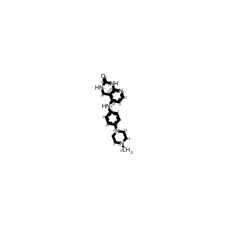 CN1CCN(c2ccc(Nc3ccnc4c3CNC(=O)N4)cc2)CC1